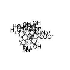 C[C@]12CCC3c4ccc(O)cc4CCC3C1C[C@@H](O)[C@@H]2O.C[C@]12CC[C@H]3c4ccc(O)cc4CC[C@@H]3C1C[C@@H](O)[C@@H]2O.O=C([O-])CCC(=O)[O-].[Na+].[Na+]